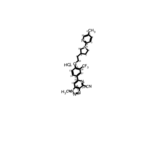 Cc1ccc(N2CCC(CCOc3ccc(-c4cc5c(nnn5C)c(C#N)n4)cc3C(F)(F)F)C2)nc1.Cl